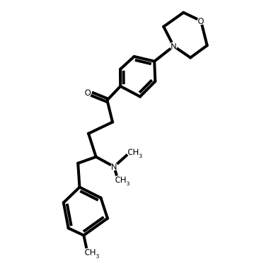 Cc1ccc(CC(CCC(=O)c2ccc(N3CCOCC3)cc2)N(C)C)cc1